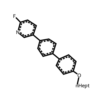 CCCCCCCOc1ccc(-c2ccc(-c3ccc(F)nc3)cc2)cc1